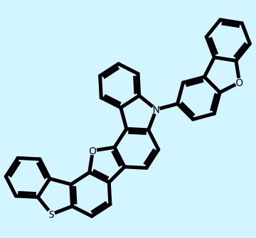 c1ccc2c(c1)oc1ccc(-n3c4ccccc4c4c5oc6c(ccc7sc8ccccc8c76)c5ccc43)cc12